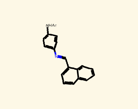 CC(=O)Nc1ccc(N=Cc2cccc3ccccc23)cc1